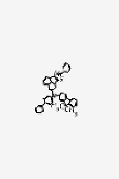 CC1(C)c2ccccc2-c2ccc(N(c3ccc(-c4ccccc4)cc3)c3cc4c5c(cccc5c3)-c3nc(-c5ccccc5)sc3-4)cc21